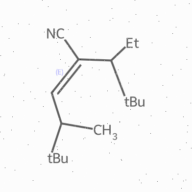 CCC(/C(C#N)=C\C(C)C(C)(C)C)C(C)(C)C